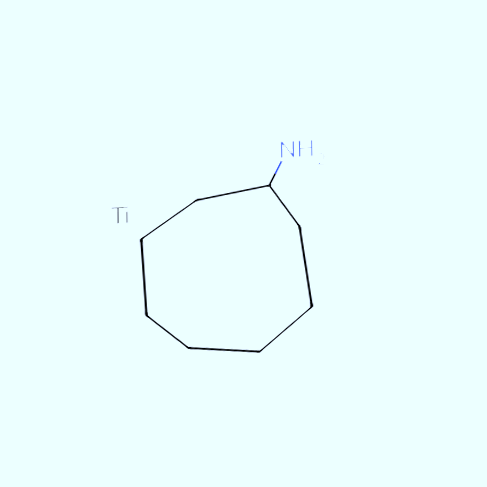 NC1CCCCCCC1.[Ti]